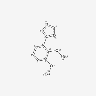 CCCCOc1cccc(-c2cnco2)c1OCCCC